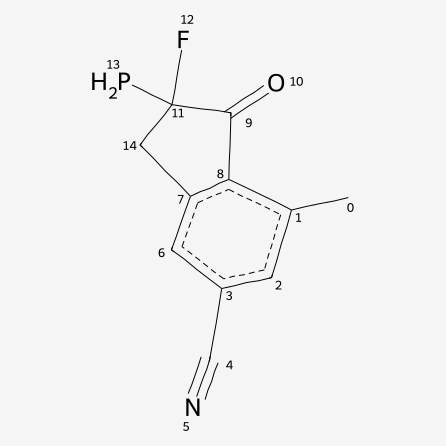 Cc1cc(C#N)cc2c1C(=O)C(F)(P)C2